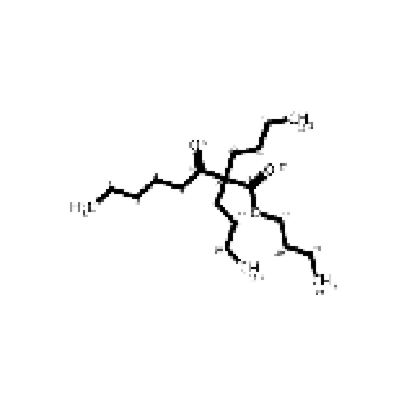 CCCCCC(=O)C(CCCC)(CCCC)C(=O)OCCCC